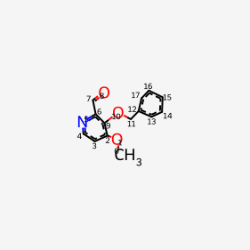 COc1ccnc(C=O)c1OCc1ccccc1